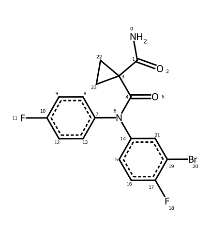 NC(=O)C1(C(=O)N(c2ccc(F)cc2)c2ccc(F)c(Br)c2)CC1